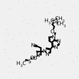 CCSOON1CC(CC#N)(n2cc(-c3ncnc4c3ccn4COCC[Si](C)(C)C)cn2)C1